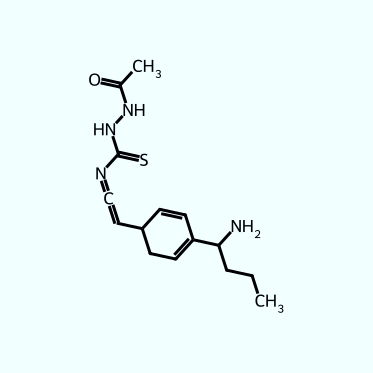 CCCC(N)C1=CCC(C=C=NC(=S)NNC(C)=O)C=C1